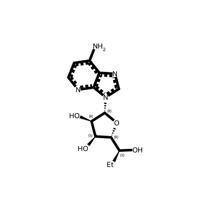 CC[C@H](O)[C@H]1O[C@@H](n2cnc3c(N)ccnc32)[C@H](O)[C@@H]1O